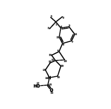 CC(C)(C)c1cccc(C2CC3(CCN(C(=O)O)CC3)C2)c1